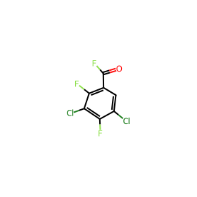 O=C(F)c1cc(Cl)c(F)c(Cl)c1F